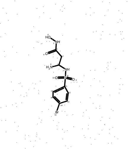 NC(CC(=O)NO)NS(=O)(=O)c1ccc(Br)cc1